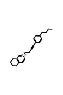 CCCCc1ccc(C#CCC[n+]2ccc3c(c2)CCCC3)cc1